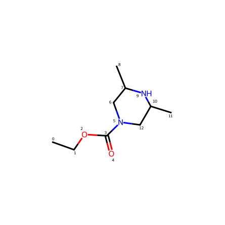 CCOC(=O)N1CC(C)NC(C)C1